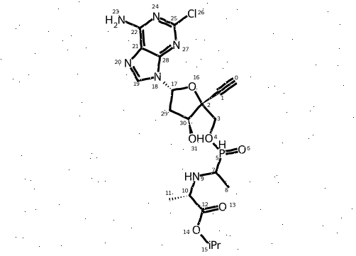 C#C[C@]1(CO[PH](=O)C(C)N[C@@H](C)C(=O)OC(C)C)O[C@@H](n2cnc3c(N)nc(Cl)nc32)C[C@@H]1O